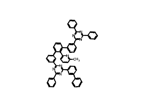 Cc1cccc(-c2c(-c3cccc(-c4nc(-c5ccccc5)nc(-c5ccccc5)n4)c3)cccc2-c2cccc(-c3nc(-c4ccccc4)nc(-c4cccc(-c5ccccc5)c4)n3)c2)n1